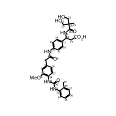 COc1cc(CC(=O)Nc2ccc(C(CC(=O)O)NC(=O)C(C)(CO)CO)cc2)ccc1NC(=O)Nc1ccccc1C